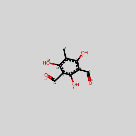 Cc1c(O)c(C=O)c(O)c(C=O)c1O